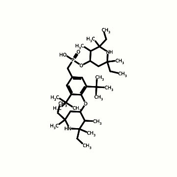 CCC1(C)CC(Oc2c(C(C)(C)C)cc(CP(=O)(O)OC3CC(C)(CC)NC(C)(CC)C3C)cc2C(C)(C)C)C(C)C(C)(CC)N1